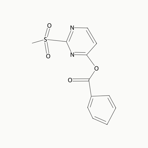 CS(=O)(=O)c1nccc(OC(=O)c2ccccc2)n1